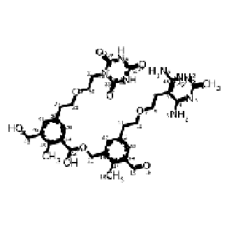 C=C(N)/N=C(/N)C(CCOCCc1cc(C=O)c(C)c(COC(O)c2cc(CCOCCn3c(=O)[nH]c(=O)[nH]c3=O)cc(CO)c2C)c1)=C(N)N